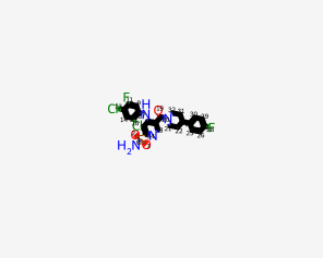 NS(=O)(=O)c1cc(Nc2cc(F)c(Cl)cc2Cl)c(C(=O)N2CCC(c3ccc(F)cc3)CC2)cn1